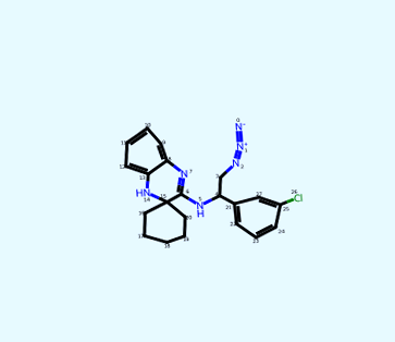 [N-]=[N+]=NCC(NC1=Nc2ccccc2NC12CCCCC2)c1cccc(Cl)c1